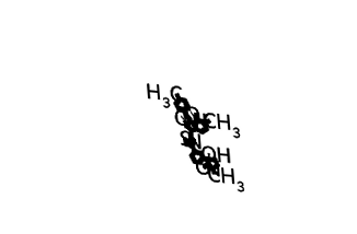 Cc1ccc(S(=O)(=O)n2cc(-c3nc(-c4cccc([C@]5(O)CCN(C)C5=O)c4)cs3)c3ccc(C)nc32)cc1